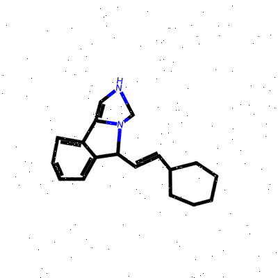 C1=C2c3ccccc3C(/C=C/C3CCCCC3)N2CN1